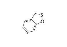 [c]1ccc2c(c1)OSC2